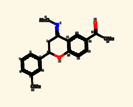 CO/N=C1\CC(c2cccc(OC)c2)Oc2ccc(C(=O)OC)cc21